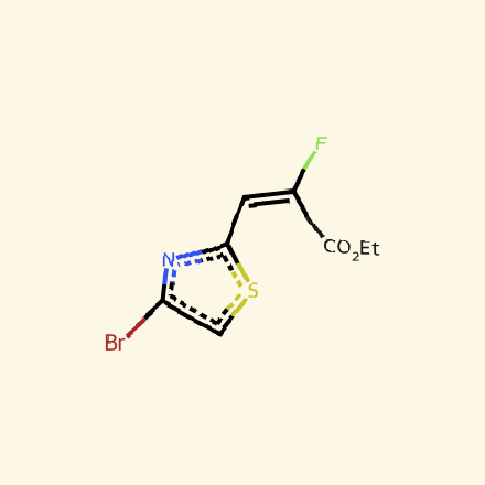 CCOC(=O)/C(F)=C\c1nc(Br)cs1